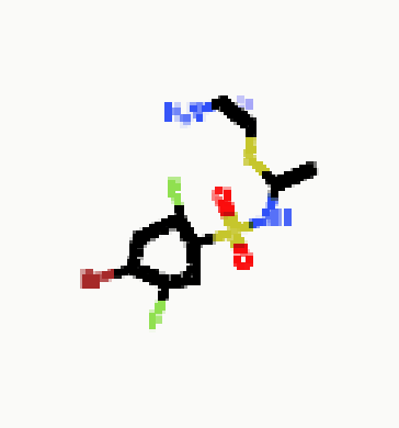 C=C(NS(=O)(=O)c1cc(F)c(Br)cc1F)S/C=C\N